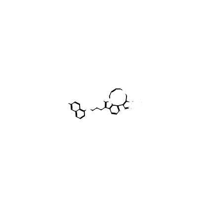 CCOC(=O)c1c(CCCOc2cccc3cc(F)ccc23)c2ccc(Cl)c3c2n1C/C=C\COCc1c-3c(CC)nn1C